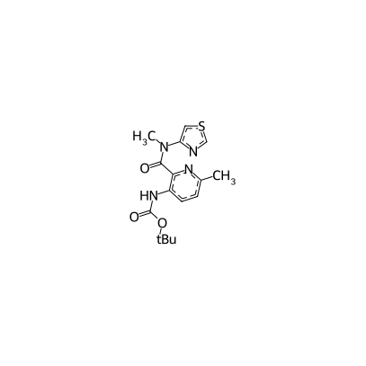 Cc1ccc(NC(=O)OC(C)(C)C)c(C(=O)N(C)c2cscn2)n1